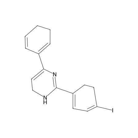 IC1=CC=C(C2=NC(C3=CCCC=C3)=CCN2)CC1